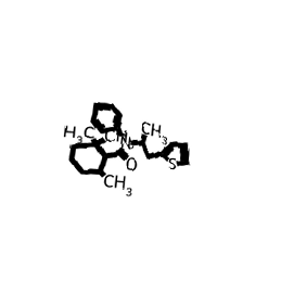 CC1CCCC(C)(C)C1C(=O)N(c1ccccc1)C(C)Cc1cccs1